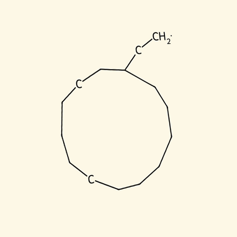 [CH2]CC1CCCCCCCCCCCC1